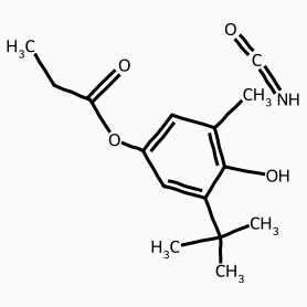 CCC(=O)Oc1cc(C)c(O)c(C(C)(C)C)c1.N=C=O